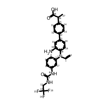 C=CN(c1cccc(NC(=O)NCC(F)(F)F)c1)c1ccc(-c2ccc(C(C)C(=O)O)cc2)cc1N